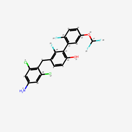 Nc1cc(Cl)c(Cc2ccc(O)c(-c3cc(OC(F)F)ccc3F)c2F)c(Cl)c1